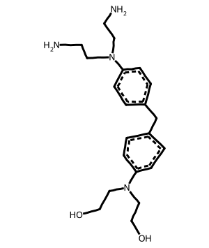 NCCN(CCN)c1ccc(Cc2ccc(N(CCO)CCO)cc2)cc1